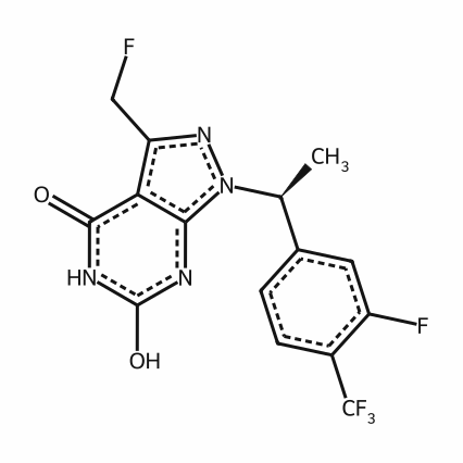 C[C@@H](c1ccc(C(F)(F)F)c(F)c1)n1nc(CF)c2c(=O)[nH]c(O)nc21